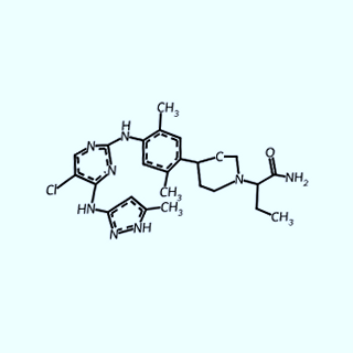 CCC(C(N)=O)N1CCC(c2cc(C)c(Nc3ncc(Cl)c(Nc4cc(C)[nH]n4)n3)cc2C)CC1